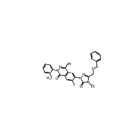 CCn1c(COCc2ccccc2)nn(-c2cc3c(C(C)C)nn(-c4ccccc4C)c(=O)c3cc2F)c1=O